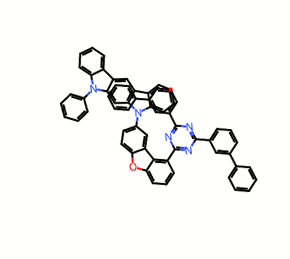 c1ccc(-c2cccc(-c3nc(-c4cccc(-c5ccccc5)c4)nc(-c4cccc5oc6ccc(-n7c8ccccc8c8cc9c%10ccccc%10n(-c%10ccccc%10)c9cc87)cc6c45)n3)c2)cc1